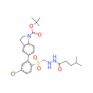 CC(C)CCC(=O)NNCS(=O)(=O)c1ccc(Cl)cc1-c1ccc2c(c1)CCN2C(=O)OC(C)(C)C